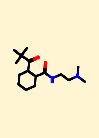 CN(C)CCNC(=O)C1CCCCC1C(=O)C(C)(C)C